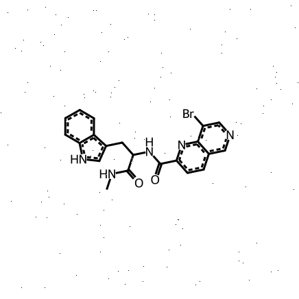 CNC(=O)C(Cc1c[nH]c2ccccc12)NC(=O)c1ccc2cncc(Br)c2n1